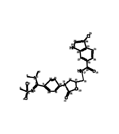 CN(C)C(=NS(C)(=O)=O)c1ccc(N2CC(CNC(=O)c3ccc4c(Cl)c[nH]c4c3)OC2=O)cc1